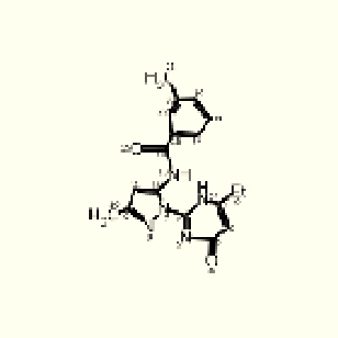 CCc1cc(=O)nc(-n2nc(C)cc2NC(=O)c2cccc(C)c2)[nH]1